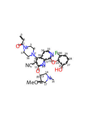 C=CC(=O)N1CCN(c2c(C#N)c(O[C@@H]3CN(C)C[C@H]3OC)nc3c(Oc4c(O)cccc4F)nccc23)CC1